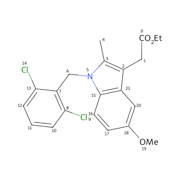 CCOC(=O)Cc1c(C)n(Cc2c(Cl)cccc2Cl)c2ccc(OC)cc12